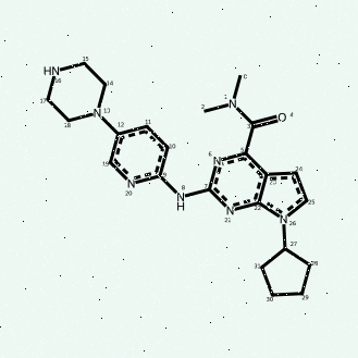 CN(C)C(=O)c1nc(Nc2ccc(N3CCNCC3)cn2)nc2c1ccn2C1CCCC1